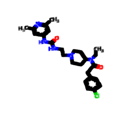 CCN(C(=O)Cc1ccc(Cl)cc1)C1CCN(CCNC(=O)Nc2cc(C)nc(C)c2)CC1